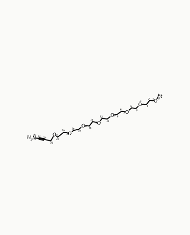 CCOCCOCCOCCOCCOCCOCCOCCOCC#CN